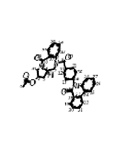 CC(=O)O[C@@H]1C[C@H]2CN(C(=O)c3ccc(NC(=O)c4ccccc4-c4ccccc4)cc3)c3ccccc3C(=O)N2C1